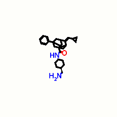 NC[C@H]1CC[C@H](NC(=O)C23CC4CC(c5ccccc5)(CC(C2)C4=CC2CC2)C3)CC1